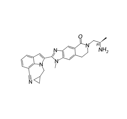 C[C@@H](N)CN1CCc2cc3c(cc2C1=O)nc(-c1cc2cccc(C#N)c2n1CC1CC1)n3C